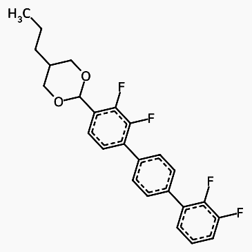 CCCC1COC(c2ccc(-c3ccc(-c4cccc(F)c4F)cc3)c(F)c2F)OC1